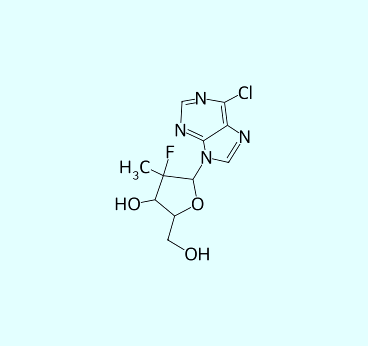 CC1(F)C(O)C(CO)OC1n1cnc2c(Cl)ncnc21